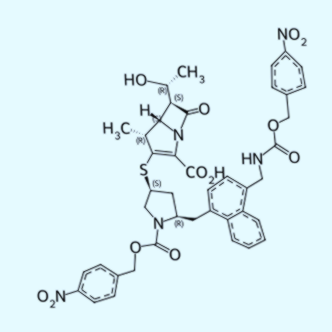 C[C@@H](O)[C@H]1C(=O)N2C(C(=O)O)=C(S[C@H]3C[C@@H](Cc4ccc(CNC(=O)OCc5ccc([N+](=O)[O-])cc5)c5ccccc45)N(C(=O)OCc4ccc([N+](=O)[O-])cc4)C3)[C@H](C)[C@H]12